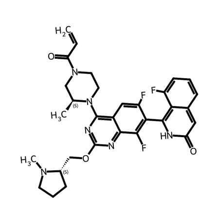 C=CC(=O)N1CCN(c2nc(OC[C@@H]3CCCN3C)nc3c(F)c(-c4[nH]c(=O)cc5cccc(F)c45)c(F)cc23)[C@@H](C)C1